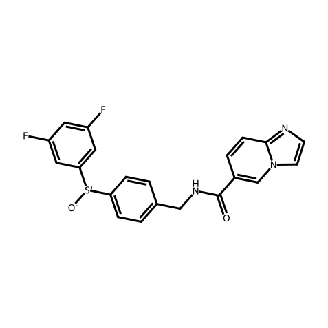 O=C(NCc1ccc([S+]([O-])c2cc(F)cc(F)c2)cc1)c1ccc2nccn2c1